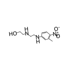 Cc1cc(NCCNCCO)ccc1[N+](=O)[O-]